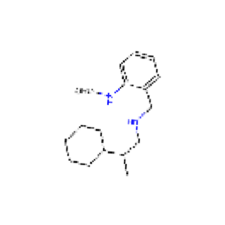 CC(CNCc1ccccc1NC=O)C1CCCCC1